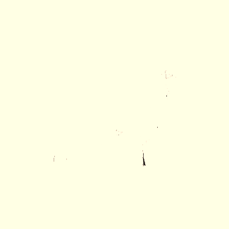 C[C@H](NC(=O)OC(C)(C)C)SCCO